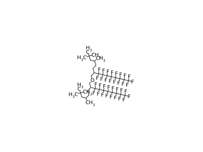 CC(CCC(COCC(CCC(C)CC(C)(C)C)C(F)(F)C(F)(F)C(F)(F)C(F)(F)C(F)(F)C(F)(F)C(F)(F)C(F)(F)F)C(F)(F)C(F)(F)C(F)(F)C(F)(F)C(F)(F)C(F)(F)C(F)(F)C(F)(F)F)CC(C)(C)C